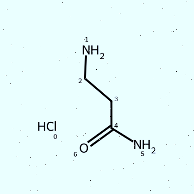 Cl.NCCC(N)=O